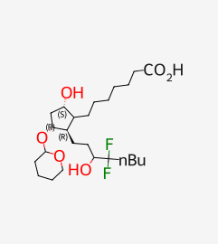 CCCCC(F)(F)C(O)CC[C@@H]1C(CCCCCCC(=O)O)[C@@H](O)C[C@H]1OC1CCCCO1